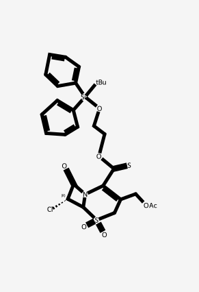 CC(=O)OCC1=C(C(=S)OCCO[Si](c2ccccc2)(c2ccccc2)C(C)(C)C)N2C(=O)[C@@H](Cl)C2S(=O)(=O)C1